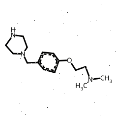 CN(C)CCOc1ccc(CN2CCNCC2)cc1